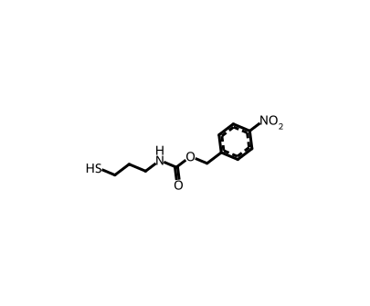 O=C(NCCCS)OCc1ccc([N+](=O)[O-])cc1